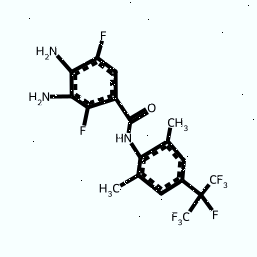 Cc1cc(C(F)(C(F)(F)F)C(F)(F)F)cc(C)c1NC(=O)c1cc(F)c(N)c(N)c1F